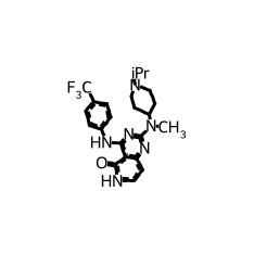 CC(C)N1CCC(N(C)c2nc(Nc3ccc(C(F)(F)F)cc3)c3c(=O)[nH]ccc3n2)CC1